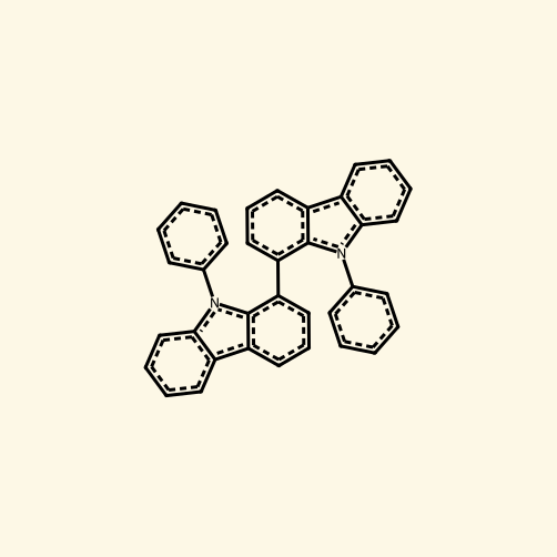 c1ccc(-n2c3ccccc3c3cccc(-c4cccc5c6ccccc6n(-c6ccccc6)c45)c32)cc1